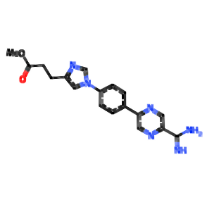 COC(=O)CCc1cn(-c2ccc(-c3cnc(C(=N)N)cn3)cc2)cn1